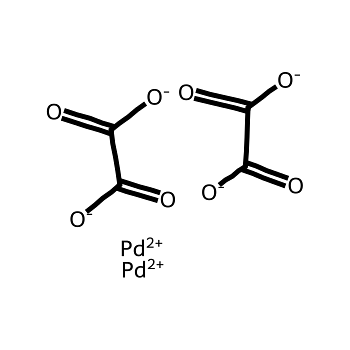 O=C([O-])C(=O)[O-].O=C([O-])C(=O)[O-].[Pd+2].[Pd+2]